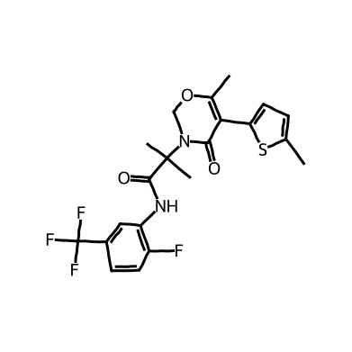 CC1=C(c2ccc(C)s2)C(=O)N(C(C)(C)C(=O)Nc2cc(C(F)(F)F)ccc2F)CO1